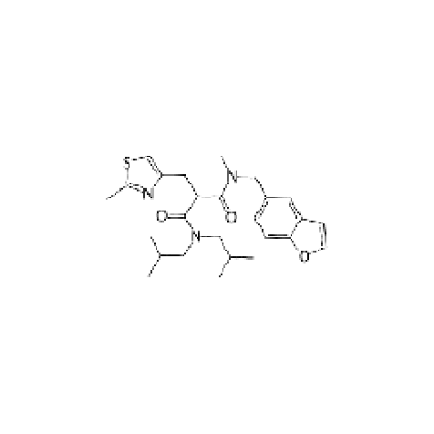 Cc1nc(CC(C(=O)N(C)Cc2ccc3occc3c2)C(=O)N(CC(C)C)CC(C)C)cs1